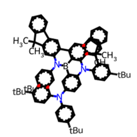 CC(C)(C)c1ccc(N2B3c4cc(N(c5ccc(C(C)(C)C)cc5)c5ccc(C(C)(C)C)cc5)ccc4N(c4ccc(C(C)(C)C)cc4-c4ccccc4)c4c3c(cc3c4C(C)(C)c4ccccc4-3)-c3cc4c(cc32)C(C)(C)c2ccccc2-4)cc1